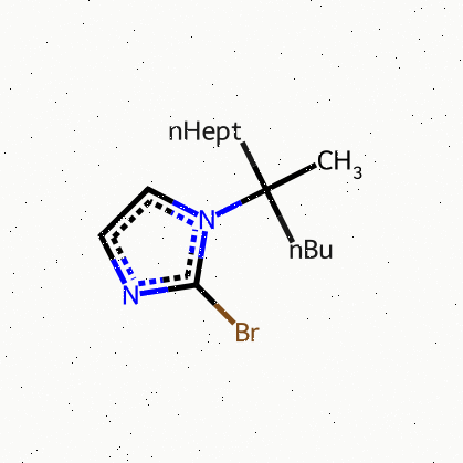 CCCCCCCC(C)(CCCC)n1ccnc1Br